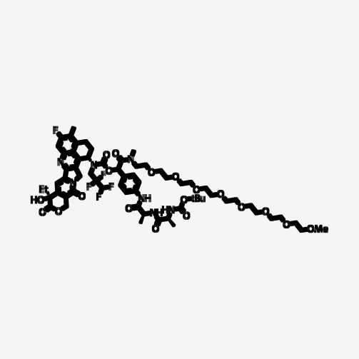 CC[C@@]1(O)C(=O)OCc2c1cc1n(c2=O)Cc2c-1nc1cc(F)c(C)c3c1c2[C@@H](N(CC(F)(F)C(F)F)C(=O)OC(C(=O)N(C)CCOCCOCCOCCOCCOCCOCCOCCOC)c1ccc(NC(=O)[C@H](C)NC(=O)[C@H](C)NC(=O)OC(C)(C)C)cc1)CC3